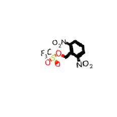 O=[N+]([O-])c1cccc([N+](=O)[O-])c1COS(=O)(=O)C(F)(F)F